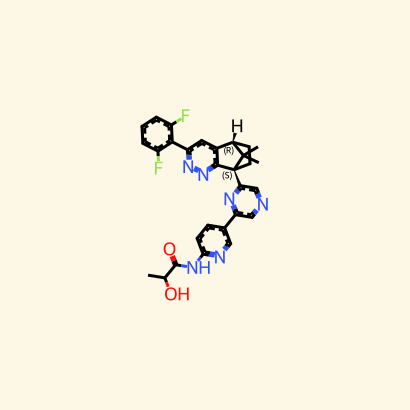 CC(O)C(=O)Nc1ccc(-c2cncc([C@@]34CC[C@@H](c5cc(-c6c(F)cccc6F)nnc53)C4(C)C)n2)cn1